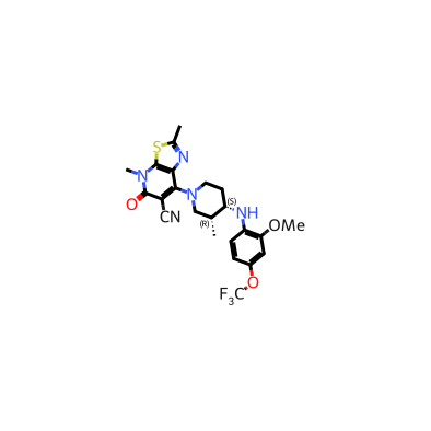 COc1cc(OC(F)(F)F)ccc1N[C@H]1CCN(c2c(C#N)c(=O)n(C)c3sc(C)nc23)C[C@H]1C